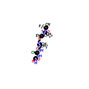 CCc1cc(N2C(=S)N(c3ccc(C#N)c(C(F)(F)F)c3)C(=O)C2(C)C)ccc1OCCN1CCN(CC(=O)Nc2cc(Cl)cc(NC3CCC(=O)NC3=O)c2)C(C)(C)C1